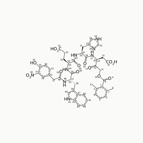 Cc1cccc(C)c1C(=O)OCC(=O)[C@H](CC(=O)O)NC(=O)[C@H](Cc1c[nH]cn1)NC(=O)[C@H](CCC(=O)O)NC(=O)[C@H](Cc1c[nH]c2ccccc12)NC(=O)Cc1ccc(O)c([N+](=O)[O-])c1